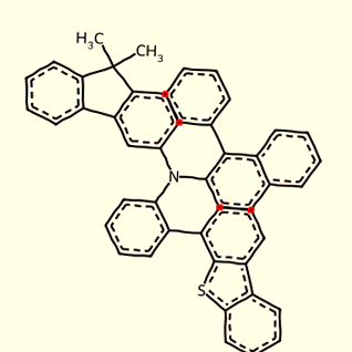 CC1(C)c2ccccc2-c2cc(N(c3ccccc3-c3cccc4c3sc3ccccc34)c3ccc4ccccc4c3-c3ccccc3)ccc21